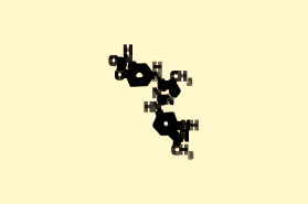 Cc1cnc(Nc2ccc3c(C)n[nH]c3c2)nc1Nc1ccc2oc(=O)[nH]c2c1